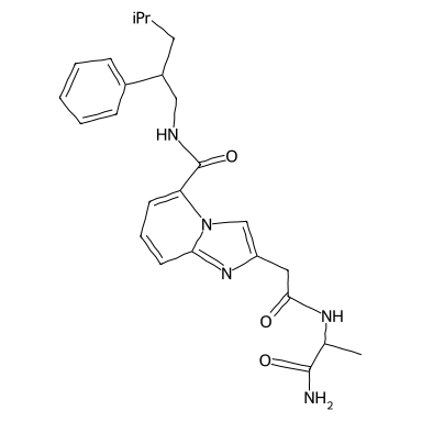 CC(C)CC(CNC(=O)c1cccc2nc(CC(=O)NC(C)C(N)=O)cn12)c1ccccc1